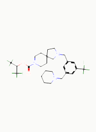 O=C(OC(C(F)(F)F)C(F)(F)F)N1CCC2(CCN(Cc3cc(CN4CCCCC4)cc(C(F)(F)F)c3)C2)CC1